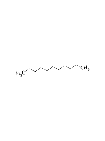 [CH2]CCCCCCCCCC